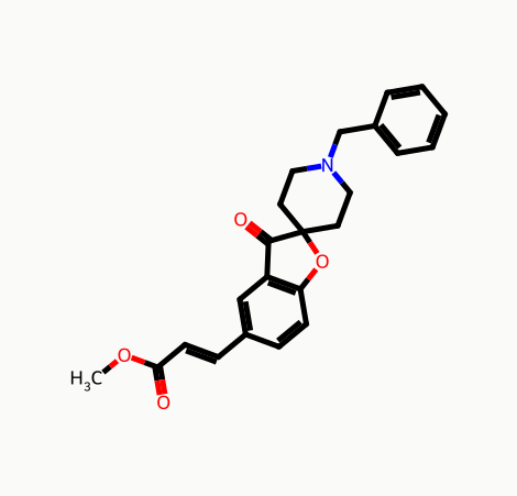 COC(=O)C=Cc1ccc2c(c1)C(=O)C1(CCN(Cc3ccccc3)CC1)O2